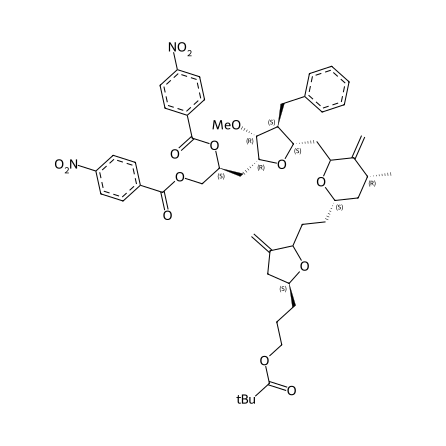 C=C1C[C@H](CCCOC(=O)C(C)(C)C)OC1CC[C@H]1C[C@@H](C)C(=C)C(C[C@@H]2O[C@H](C[C@@H](COC(=O)c3ccc([N+](=O)[O-])cc3)OC(=O)c3ccc([N+](=O)[O-])cc3)[C@H](OC)[C@H]2Cc2ccccc2)O1